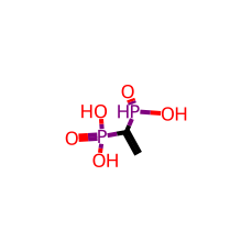 C=C([PH](=O)O)P(=O)(O)O